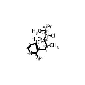 CC(C)c1ncccc1C[C@H](C)[C@H](C)N(Cl)[C@H](C)C(C)C